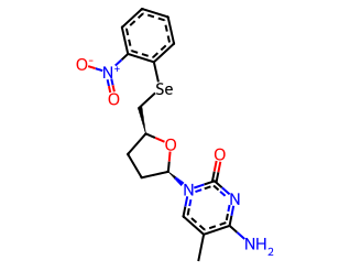 Cc1cn([C@H]2CC[C@@H](C[Se]c3ccccc3[N+](=O)[O-])O2)c(=O)nc1N